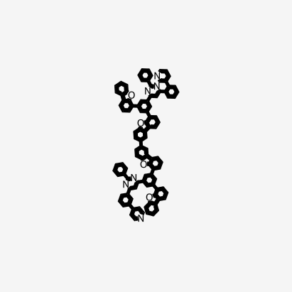 c1ccc(-c2nc(-c3cccc(-c4ccncc4)c3)cc(-c3cc(-c4cccc5c4oc4ccccc45)cc(-c4cccc5c4oc4ccc(-c6ccc7oc8c(-c9cc(-c%10cc(-c%11ccccc%11-c%11cccnc%11)nc(-c%11ccccc%11)n%10)cc(-c%10cccc%11c%10oc%10ccccc%10%11)c9)cccc8c7c6)cc45)c3)n2)cc1